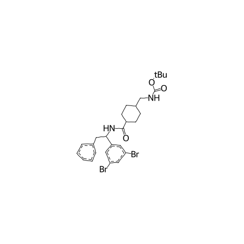 CC(C)(C)OC(=O)NCC1CCC(C(=O)NC(Cc2ccccc2)c2cc(Br)cc(Br)c2)CC1